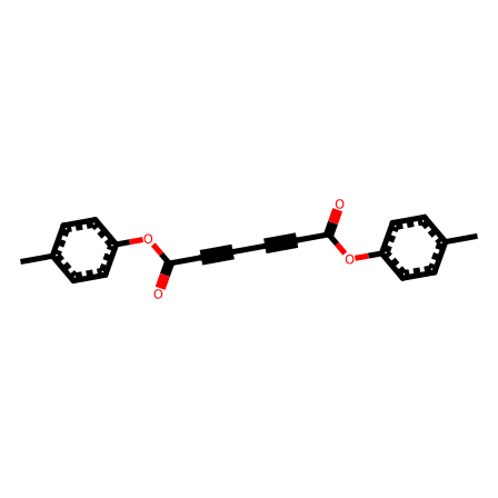 Cc1ccc(OC(=O)C#CC#CC(=O)Oc2ccc(C)cc2)cc1